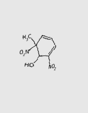 CC1([N+](=O)[O-])C=CC=C([N+](=O)[O-])C1O